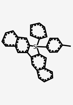 Cc1ccc([Si]2(c3ccccc3)c3cc4ccccc4cc3-c3cc4ccccc4cc32)cc1